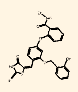 CCNC(=O)c1ccccc1Oc1ccc(C=C2SC(=S)NC2=O)c(OCc2ccccc2Br)c1